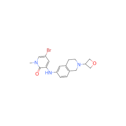 Cn1cc(Br)cc(Nc2ccc3c(c2)CCN(C2COC2)C3)c1=O